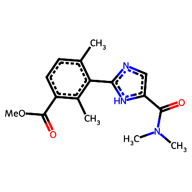 COC(=O)c1ccc(C)c(-c2ncc(C(=O)N(C)C)[nH]2)c1C